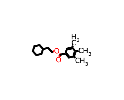 Cc1cc(C(=O)OCCC2CCCCC2)cc(C)c1C